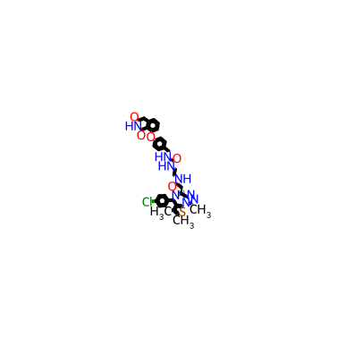 Cc1sc2c(c1C)C(c1ccc(Cl)cc1)=N[C@@H](CC(=O)NCCNC(=O)NCc1ccc(Oc3cccc4c3C(=O)NC(=O)C4)cc1)c1nnc(C)n1-2